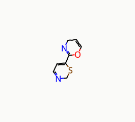 C1=COC(C2=CC=NCS2)=NC1